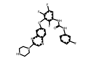 O=C(Nc1cccc(F)c1)Nc1cc(F)c(F)c(Oc2ccc3ncc(N4CCNCC4)nc3c2)c1F